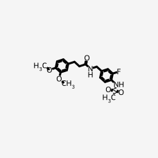 COc1ccc(CCC(=O)NCc2ccc(NS(C)(=O)=O)c(F)c2)cc1OC